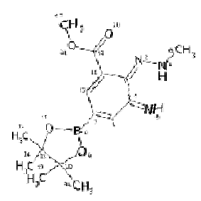 CN/N=C1\C(=N)C=C(B2OC(C)(C)C(C)(C)O2)C=C1C(=O)OC